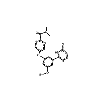 CC(C)Oc1cc(Oc2cnc(C(=O)N(C)C)nc2)cc(-c2nccc(=O)[nH]2)c1